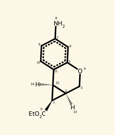 CCOC(=O)[C@@H]1[C@@H]2COc3cc(N)ccc3[C@@H]21